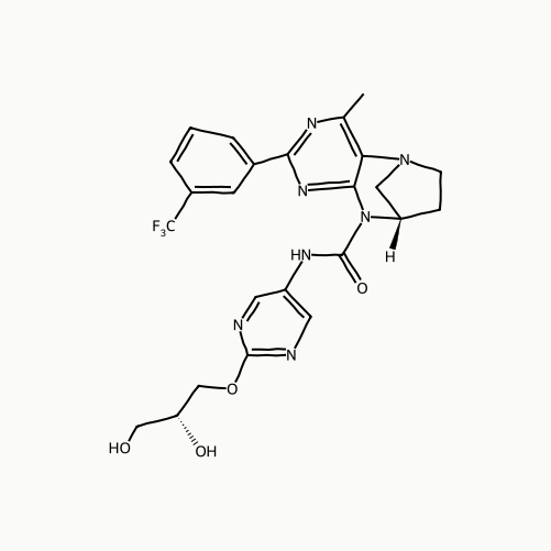 Cc1nc(-c2cccc(C(F)(F)F)c2)nc2c1N1CC[C@@H](C1)N2C(=O)Nc1cnc(OC[C@H](O)CO)nc1